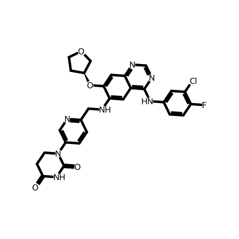 O=C1CCN(c2ccc(CNc3cc4c(Nc5ccc(F)c(Cl)c5)ncnc4cc3O[C@H]3CCOC3)nc2)C(=O)N1